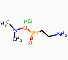 CN(C)O[PH](=O)CCN.Cl